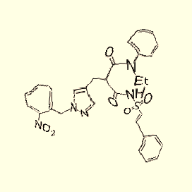 CCN(C(=O)C(Cc1cnn(Cc2ccccc2[N+](=O)[O-])c1)C(=O)NS(=O)(=O)/C=C/c1ccccc1)c1ccccc1